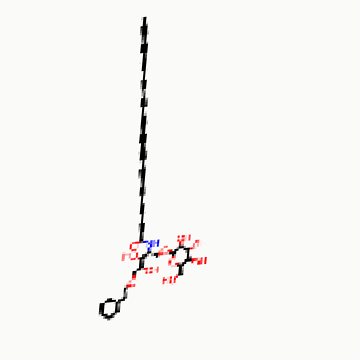 CC#CC#CC#CC#CC#CC#CC#CC#CC#CC#CC#CC#CC(=O)N[C@@H](COC1OC(CO)C(O)C(O)C1O)[C@H](O)[C@H](O)COCCC1CCCCC1